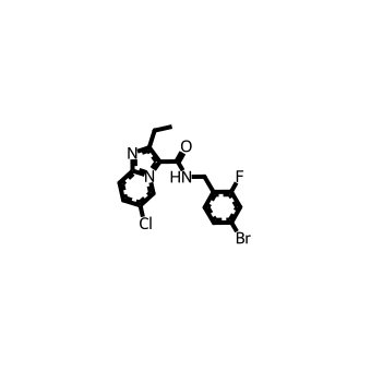 CCc1nc2ccc(Cl)cn2c1C(=O)NCc1ccc(Br)cc1F